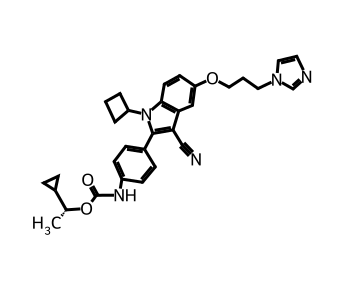 C[C@@H](OC(=O)Nc1ccc(-c2c(C#N)c3cc(OCCCn4ccnc4)ccc3n2C2CCC2)cc1)C1CC1